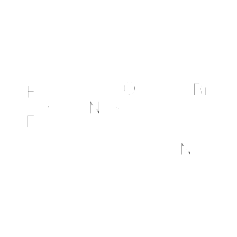 O=C(Cc1cncc(Br)c1)N1CCC(F)(F)CC1